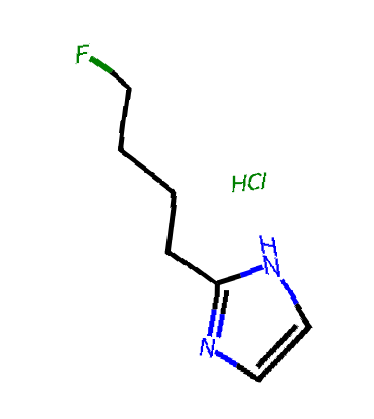 Cl.FCCCCc1ncc[nH]1